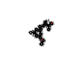 Ic1c(C2=CC=CCC2)nc(-c2ccccc2)nc1-c1cccc(-n2c3ccc(-c4cccc5c4sc4ccccc45)cc3c3ccc(-c4ccc5c(c4)sc4c(-c6ccc7c(c6)-c6ccccc6C7C6N=C(c7ccccc7)N=C(c7ccccc7)N6)cccc45)cc32)c1